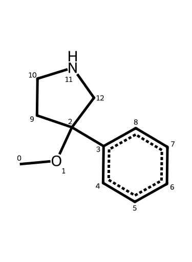 COC1(c2ccccc2)CCNC1